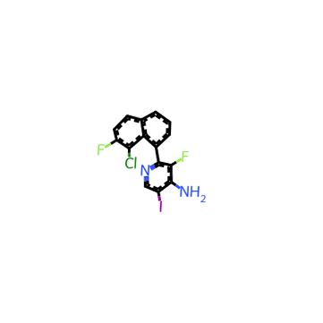 Nc1c(I)cnc(-c2cccc3ccc(F)c(Cl)c23)c1F